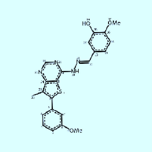 COc1cccc(-c2sc3c(NN=Cc4ccc(OC)c(O)c4)ncnc3c2C)c1